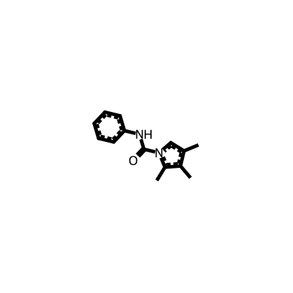 Cc1cn(C(=O)Nc2ccccc2)c(C)c1C